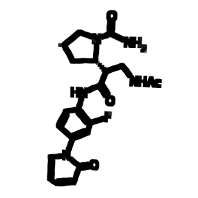 CC(=O)NCC(C(=O)Nc1ccc(-n2ccccc2=O)cc1F)[C@@H]1C[CH]CN1C(N)=O